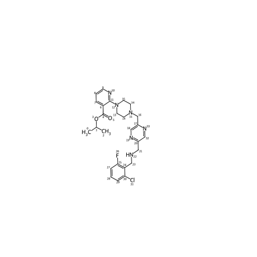 CC(C)OC(=O)c1cccnc1N1CCN(Cc2cnc(CNCc3c(F)cccc3Cl)cn2)CC1